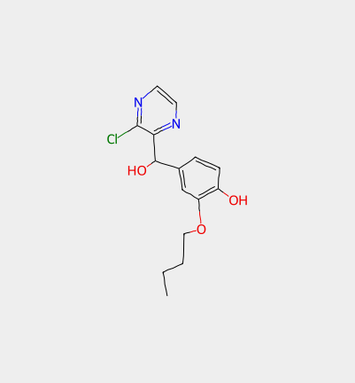 CCCCOc1cc(C(O)c2nccnc2Cl)ccc1O